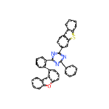 c1ccc(-c2nc(-c3ccc4c(c3)sc3ccccc34)nc(-c3ccccc3-c3cccc4oc5ccccc5c34)n2)cc1